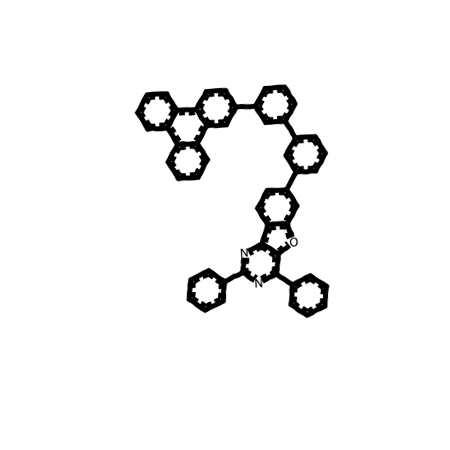 c1ccc(-c2nc(-c3ccccc3)c3oc4cc(-c5cccc(-c6cccc(-c7ccc8c9ccccc9c9ccccc9c8c7)c6)c5)ccc4c3n2)cc1